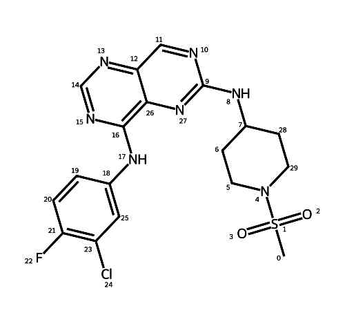 CS(=O)(=O)N1CCC(Nc2ncc3ncnc(Nc4ccc(F)c(Cl)c4)c3n2)CC1